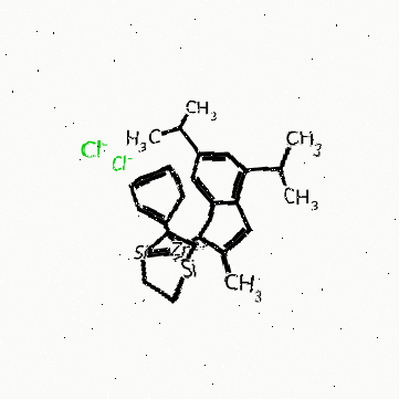 CC1=Cc2c(C(C)C)cc(C(C)C)cc2[CH]1[Zr+2]1([C]2=CC=CC2)=[Si]2CC[Si]=1CC2.[Cl-].[Cl-]